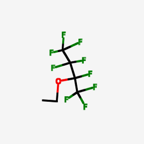 CCOC(F)(C(F)(F)F)C(F)(F)C(F)(F)F